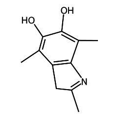 CC1=Nc2c(C)c(O)c(O)c(C)c2C1